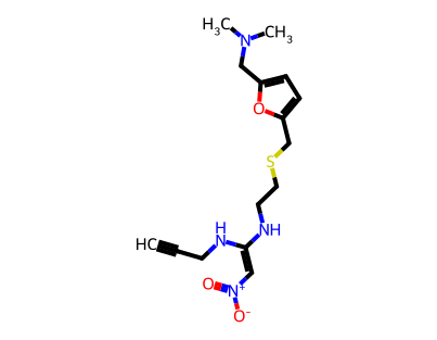 C#CCNC(=C[N+](=O)[O-])NCCSCc1ccc(CN(C)C)o1